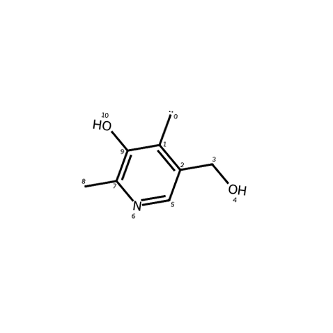 [CH]c1c(CO)cnc(C)c1O